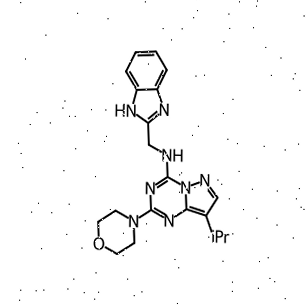 CC(C)c1cnn2c(NCc3nc4ccccc4[nH]3)nc(N3CCOCC3)nc12